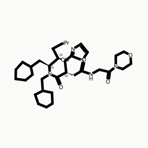 CC(C)C[C@H](O)[C@H](CC1CCCCC1)N(CC1CCCCC1)C(=O)[C@@H](CC(=O)NCC(=O)N1CCOCC1)Cc1nccs1